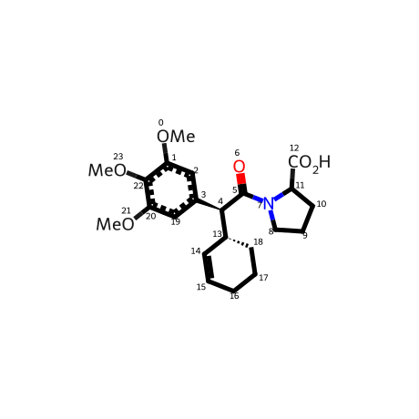 COc1cc([C@@H](C(=O)N2CCCC2C(=O)O)[C@H]2C=CCCC2)cc(OC)c1OC